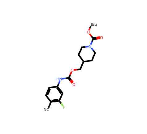 CC(C)(C)OC(=O)N1CCC(COC(=O)Nc2ccc(C#N)c(F)c2)CC1